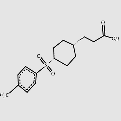 Cc1ccc(S(=O)(=O)[C@H]2CC[C@@H](CCC(=O)O)CC2)cc1